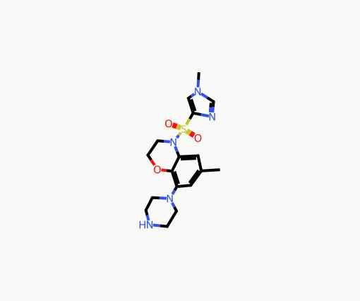 Cc1cc(N2CCNCC2)c2c(c1)N(S(=O)(=O)c1cn(C)cn1)CCO2